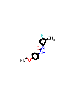 Cc1cc(NC(=O)Nc2ccc(OCC#N)cc2)ccc1F